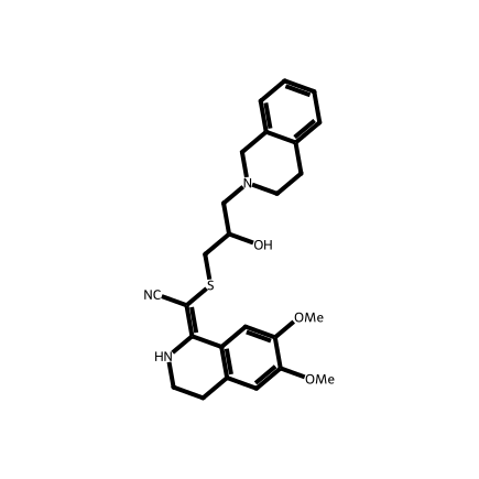 COc1cc2c(cc1OC)C(=C(C#N)SCC(O)CN1CCc3ccccc3C1)NCC2